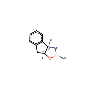 CCCCB1N[C@@H]2c3ccccc3C[C@@H]2O1